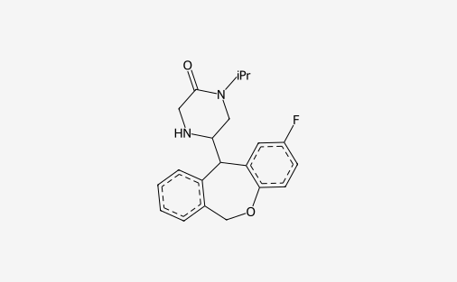 CC(C)N1CC(C2c3ccccc3COc3ccc(F)cc32)NCC1=O